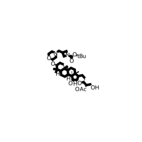 CC(=O)O[C@H](CO)[C@H]1CCC2[C@H](O1)C(=O)[C@@]1(C)[C@@H]3CC[C@H]4C(C)(C)[C@@H](O[C@H]5CN(CC6CN(C(=O)OC(C)(C)C)C6)CCO5)CC[C@@]45C[C@@]35CC[C@]21C